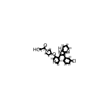 C#CC(=O)N1CC[C@@H](Oc2cnccc2-c2[nH]c3cccnc3c2-c2cccc(Cl)c2)C1